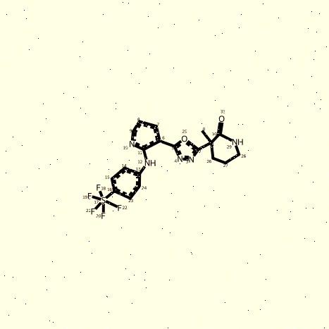 CC1(c2nnc(-c3cccnc3Nc3ccc(S(F)(F)(F)(F)F)cc3)o2)CCCNC1=O